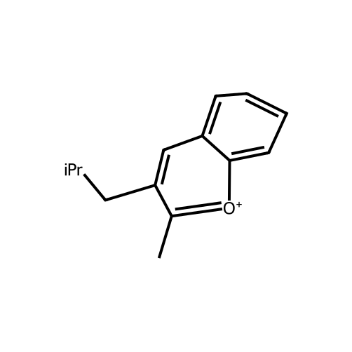 Cc1[o+]c2ccccc2cc1CC(C)C